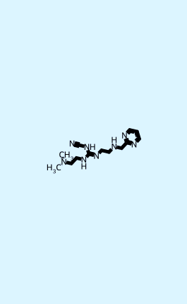 CN(C)CCNC(=NCCNCc1ncccn1)NC#N